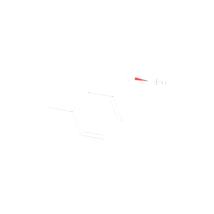 CC[C@H](C)Oc1cccc(C)c1